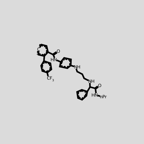 CCCNC(=O)C(NCCCNc1ccc(NC(=O)c2ccccc2-c2ccc(C(F)(F)F)cc2)cc1)c1ccccc1